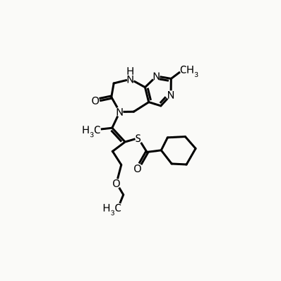 CCOCC/C(SC(=O)C1CCCCC1)=C(\C)N1Cc2cnc(C)nc2NCC1=O